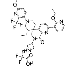 CCOc1ncccc1-c1ccc2c(n1)C(=O)N(C1CNC1)C[C@]21CCN(c2ccc(OC)nc2C(F)(F)F)C[C@H]1CC.O=C(O)C(F)(F)F